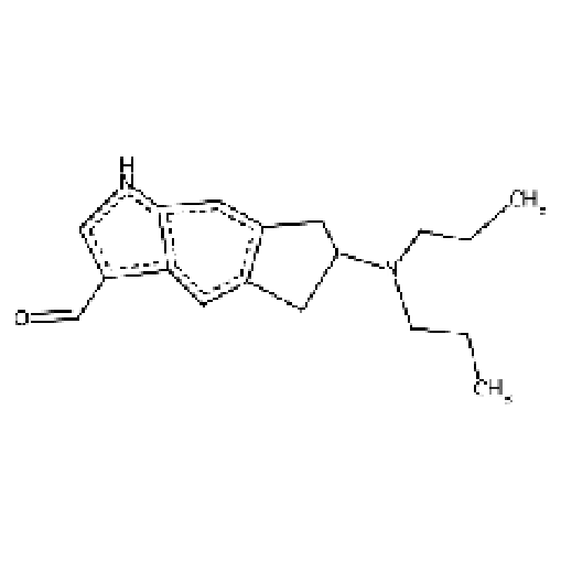 CCCN(CCC)C1Cc2cc3[nH]cc(C=O)c3cc2C1